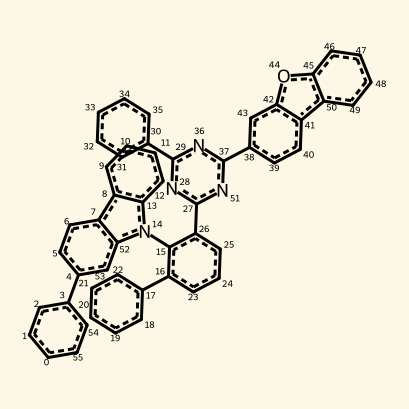 c1ccc(-c2ccc3c4ccccc4n(-c4c(-c5ccccc5)cccc4-c4nc(-c5ccccc5)nc(-c5ccc6c(c5)oc5ccccc56)n4)c3c2)cc1